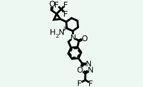 N[C@@H]1C(C2CC2(C=O)C(F)(F)F)CCCC1N1Cc2ccc(-c3nnc(C(F)F)o3)cc2C1=O